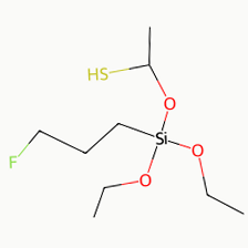 CCO[Si](CCCF)(OCC)OC(C)S